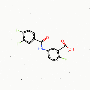 O=C(Nc1ccc(F)c(C(=O)O)c1)c1ccc(F)c(F)c1